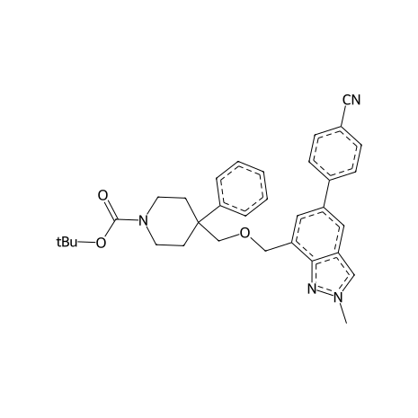 Cn1cc2cc(-c3ccc(C#N)cc3)cc(COCC3(c4ccccc4)CCN(C(=O)OC(C)(C)C)CC3)c2n1